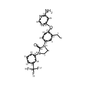 CCc1cc(N2CCN(c3cccc(C(F)(F)F)c3)C2=O)ccc1Oc1cc(N)ncn1